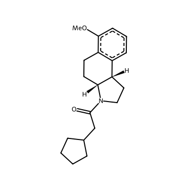 COc1cccc2c1CC[C@@H]1[C@H]2CCN1C(=O)CC1CCCC1